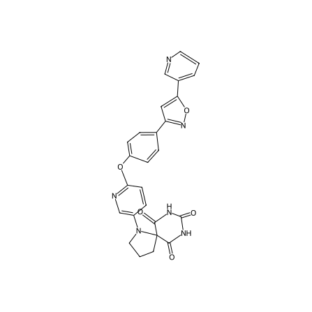 O=C1NC(=O)C2(CCCN2c2ccc(Oc3ccc(-c4cc(-c5cccnc5)on4)cc3)nc2)C(=O)N1